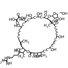 CCCCC1C(=O)OC(C(C)C(O)CCCNC(=N)N)C(C)/C=C(\C)CCCCC(O)CC(O)CC(O)CC(O)CC(O)C(O[C@H]2O[C@H](CO)[C@@H](O)[C@@H]2O)/C=C(\C)C(O)CCCC(O)CCCC(O)CCC(C)C1O.O=C(O)C(=O)O